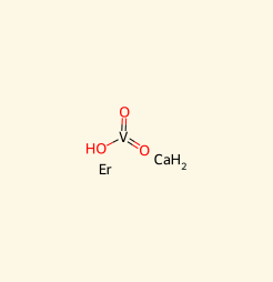 [CaH2].[Er].[O]=[V](=[O])[OH]